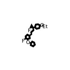 CCOc1ccc(C2(C=C(F)Cc3ccc(F)c(Oc4ccccc4)c3)CC2)cc1